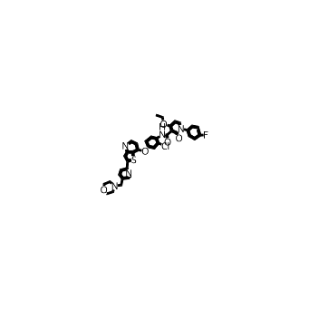 CCOc1ccn(-c2ccc(F)cc2)c(=O)c1C(=O)Nc1ccc(Oc2ccnc3cc(-c4ccc(CN5CCOCC5)cn4)sc23)cc1Cl